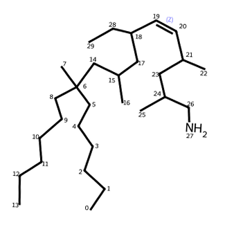 CCCCCCC(C)(CCCCCC)CC(C)CC(/C=C\C(C)CC(C)CN)CC